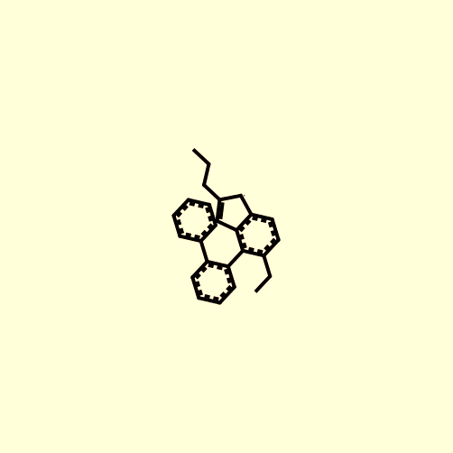 CCCC1=Cc2c(ccc(CC)c2-c2ccccc2-c2ccccc2)[CH]1